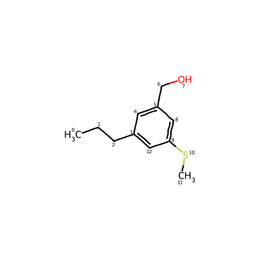 CCCc1cc(CO)cc(SC)c1